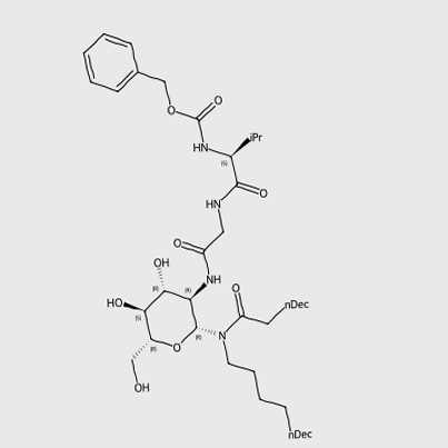 CCCCCCCCCCCCCCN(C(=O)CCCCCCCCCCC)[C@@H]1O[C@H](CO)[C@@H](O)[C@H](O)[C@H]1NC(=O)CNC(=O)[C@@H](NC(=O)OCc1ccccc1)C(C)C